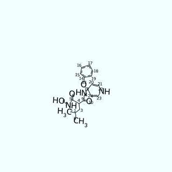 CC(C)CC(C(=O)NO)C(=O)NC1(Oc2ccccc2)C=CNC=C1